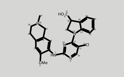 COc1cc2c(cc1Nc1ncc(Cl)c(N3CC(C(=O)O)c4ccccc43)n1)CN(C)CC2